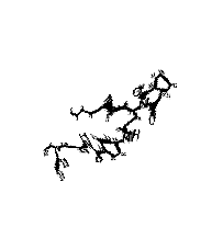 CCCCCCCC(CCNc1ccc(C(=O)NCCN(CC)CC)cc1)N1C(=O)c2ccccc2C1=O